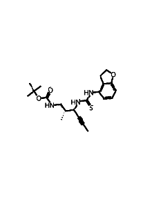 CC#CC(NC(=S)Nc1cccc2c1CCO2)[C@H](C)CNC(=O)OC(C)(C)C